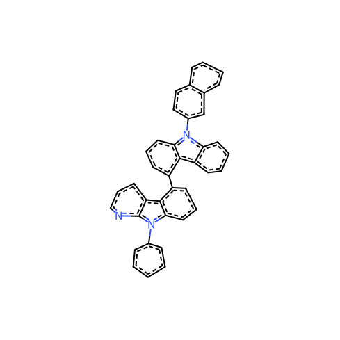 c1ccc(-n2c3cccc(-c4cccc5c4c4ccccc4n5-c4ccc5ccccc5c4)c3c3cccnc32)cc1